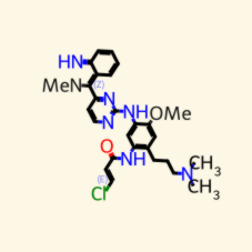 CN/C(=C1/C=CC=CC1=N)c1ccnc(Nc2cc(NC(=O)/C=C/Cl)c(CCCN(C)C)cc2OC)n1